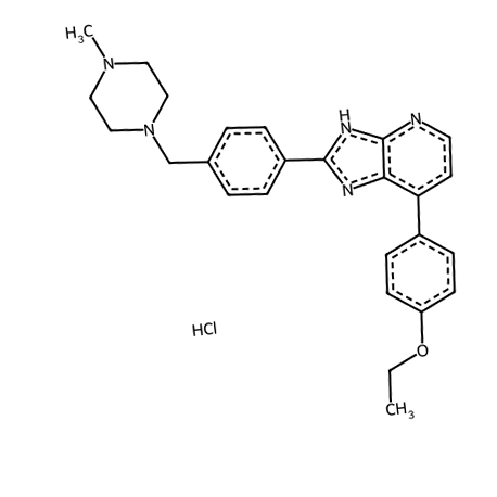 CCOc1ccc(-c2ccnc3[nH]c(-c4ccc(CN5CCN(C)CC5)cc4)nc23)cc1.Cl